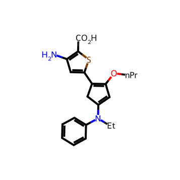 CCCOC1=C(c2cc(N)c(C(=O)O)s2)CC(N(CC)c2ccccc2)=C1